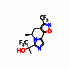 C[C@H]1Cc2c(C(F)(F)F)noc2-c2cnc([C@@](C)(O)C(F)(F)F)n21